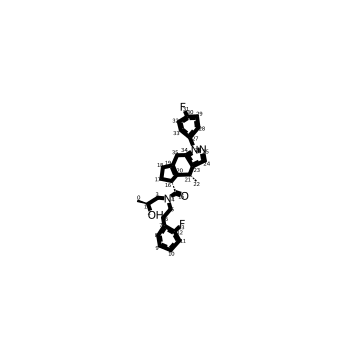 C[C@H](O)CN(CCc1ccccc1F)C(=O)[C@@H]1CCC2=C1[C@@H](C)c1cnn(-c3ccc(F)cc3)c1C2